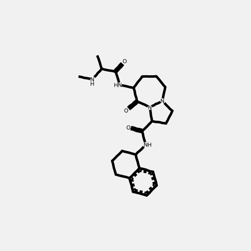 CNC(C)C(=O)NC1CCCN2CCC(C(=O)NC3CCCc4ccccc43)N2C1=O